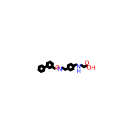 O=C(O)CCNCc1ccc(CC=NOCc2cccc(-c3ccccc3)c2)cc1